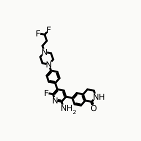 Nc1nc(F)c(-c2ccc(N3CCN(CCC(F)F)CC3)cc2)cc1-c1ccc2c(c1)CCNC2=O